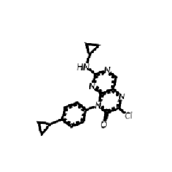 O=c1c(Cl)nc2cnc(NC3CC3)nc2n1-c1ccc(C2CC2)cc1